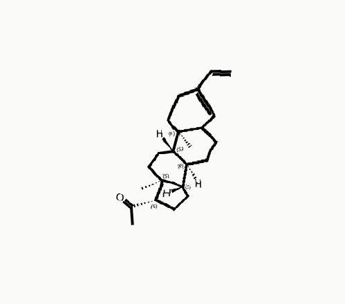 C=CC1=CC2CC[C@H]3[C@@H]4CC[C@H](C(C)=O)[C@@]4(C)CC[C@@H]3[C@@]2(C)CC1